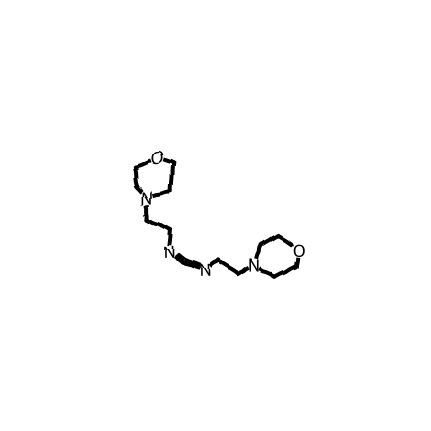 C(=NCCN1CCOCC1)=NCCN1CCOCC1